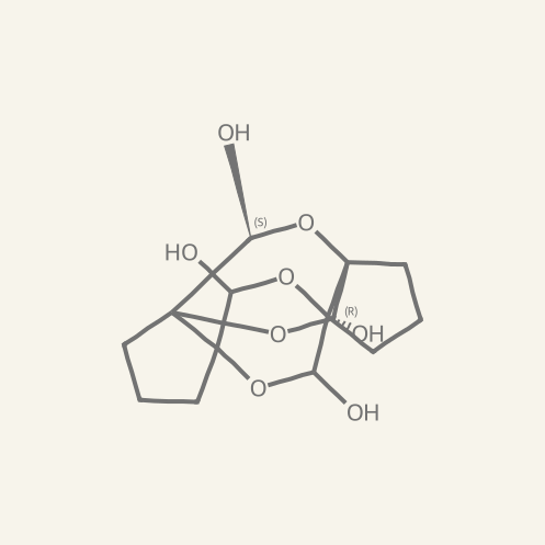 OC1OC23CCCC24O[C@@H](O)C2(CCCC12OC3O)O[C@@H]4O